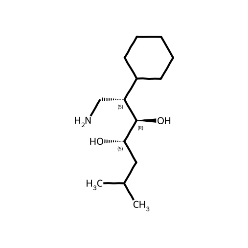 CC(C)C[C@H](O)[C@H](O)[C@H](CN)C1CCCCC1